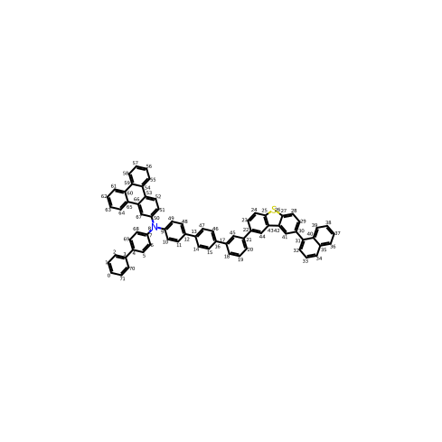 c1ccc(-c2ccc(N(c3ccc(-c4ccc(-c5cccc(-c6ccc7sc8ccc(-c9cccc%10ccccc9%10)cc8c7c6)c5)cc4)cc3)c3ccc4c5ccccc5c5ccccc5c4c3)cc2)cc1